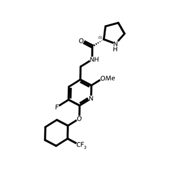 COc1nc(OC2CCCCC2C(F)(F)F)c(F)cc1CNC(=O)[C@@H]1CCCN1